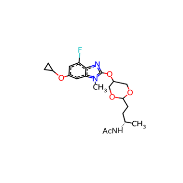 CC(=O)N[C@@H](C)CCC1OCC(Oc2nc3c(F)cc(OC4CC4)cc3n2C)CO1